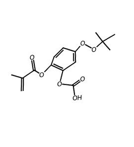 C=C(C)C(=O)Oc1ccc(OOC(C)(C)C)cc1OC(=O)O